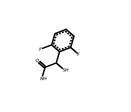 [NH]C(=O)C(S)c1c(F)cccc1F